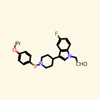 CC(C)Oc1ccc(SN2CCC(c3cn(CC=O)c4ccc(F)cc34)CC2)cc1